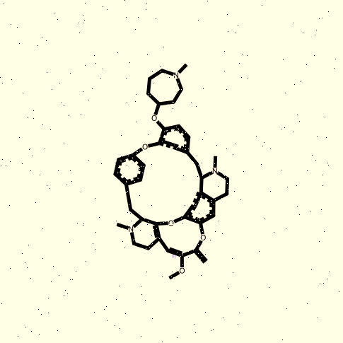 C=C1Oc2cc3c4cc2OC2=C(/C=C\1OC)CCN(C)C2Cc1ccc(cc1)Oc1cc(ccc1OC1CCCN(C)CC1)CC4N(C)CC3